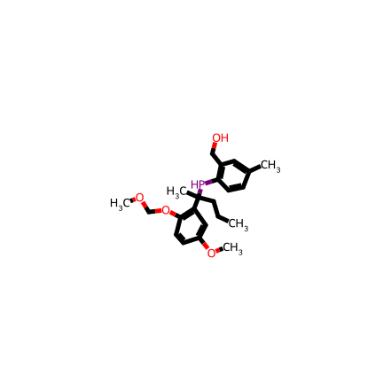 CCCC(C)(Pc1ccc(C)cc1CO)c1cc(OC)ccc1OCOC